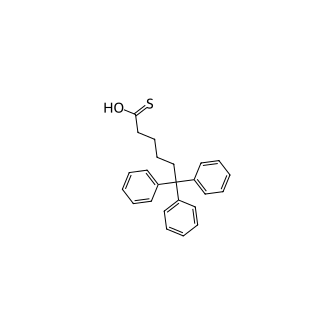 OC(=S)CCCCC(c1ccccc1)(c1ccccc1)c1ccccc1